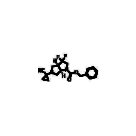 N#CC1(N2C[C@@H]3[C@H](C2)N(C(=O)OCc2ccccc2)CC3(F)F)CC1